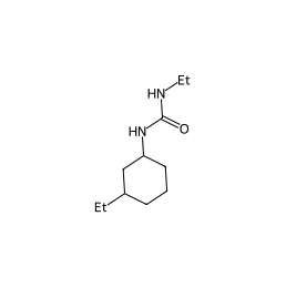 CCNC(=O)NC1CCCC(CC)C1